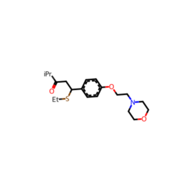 CCSC(CC(=O)C(C)C)c1ccc(OCCN2CCOCC2)cc1